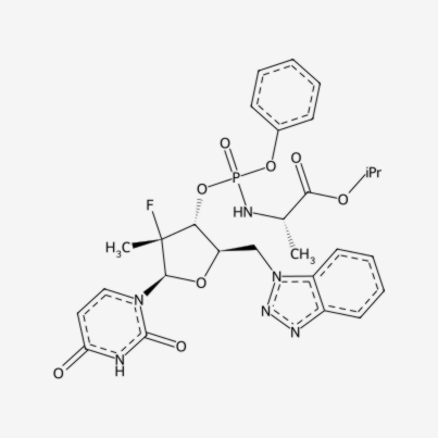 CC(C)OC(=O)[C@H](C)NP(=O)(Oc1ccccc1)O[C@@H]1[C@@H](Cn2nnc3ccccc32)O[C@@H](n2ccc(=O)[nH]c2=O)[C@]1(C)F